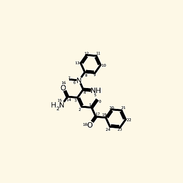 C=C(/C=C(\C(=N)N(C)c1ccccc1)C(N)=O)C(=O)c1ccccc1